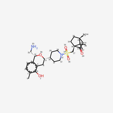 Cc1ccc2c(c1O)C[C@@H](C1CCN(S(=O)(=O)C[C@]34CC[C@H](CC3=O)C4(C)C)CC1)O[C@H]2CN